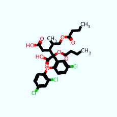 CCCC(=O)OCC(C)C(CC(=O)O)C(OC(=O)CCC)(C(=O)O)c1cc(Cl)ccc1Oc1ccc(Cl)cc1Cl